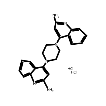 Cl.Cl.Nc1cc(N2CCN(c3cc(N)nc4ccccc34)CC2)c2ccccc2n1